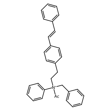 CC(=O)[N+](CCc1ccc(C=Cc2ccccc2)cc1)(Cc1ccccc1)c1ccccc1